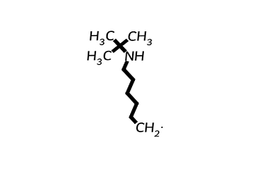 [CH2]CCCCCNC(C)(C)C